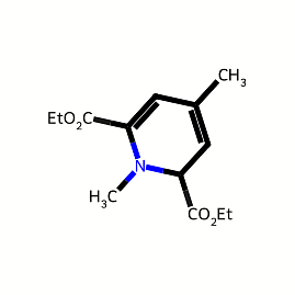 CCOC(=O)C1=CC(C)=CC(C(=O)OCC)N1C